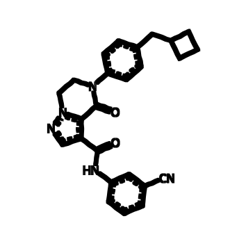 N#Cc1cccc(NC(=O)c2cnn3c2C(=O)N(c2ccc(CC4CCC4)cc2)CC3)c1